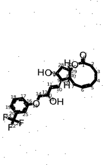 O=C1CCCC=CC[C@@H]2[C@@H](C=C[C@@H](O)COc3cccc(C(F)(F)F)c3)[C@H](O)C[C@@H]2O1